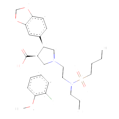 CCCCS(=O)(=O)N(CCC)CCN1C[C@H](c2ccc3c(c2)OCO3)[C@H](C(=O)O)[C@H]1c1ccc(OC)c(F)c1